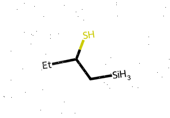 CCC(S)C[SiH3]